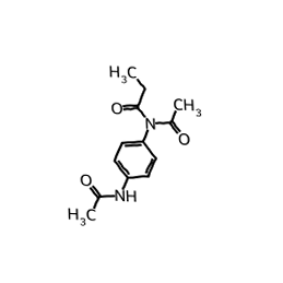 CCC(=O)N(C(C)=O)c1ccc(NC(C)=O)cc1